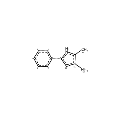 Cc1[nH]c(-c2ccccc2)cc1N